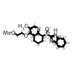 COCCOc1c(C)cnc2c1CCCC2[S+]([O-])c1nc2ccccc2[nH]1